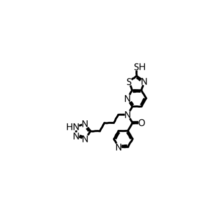 O=C(c1ccncc1)N(CCCCc1nn[nH]n1)c1ccc2nc(S)sc2n1